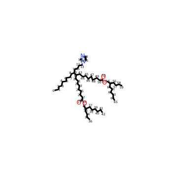 CCCCCCCCCC(CCCCn1ccnc1)C(CCCCCCCCC(=O)OCC(CCCC)CCCCCC)CCCCCCCCC(=O)OCC(CCCC)CCCCCC